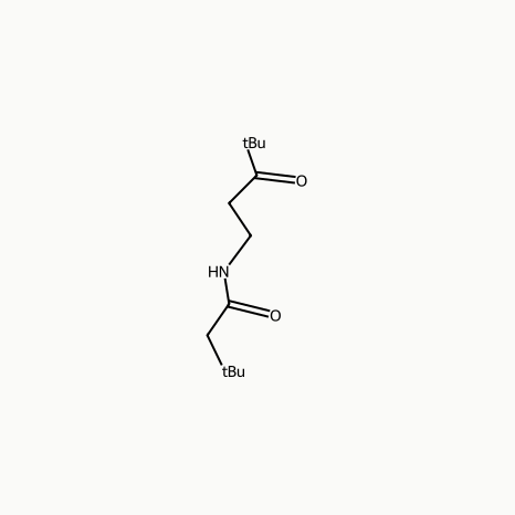 CC(C)(C)CC(=O)NCCC(=O)C(C)(C)C